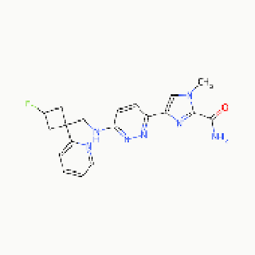 Cn1cc(-c2ccc(NCC3(c4ccccn4)CC(F)C3)nn2)nc1C(N)=O